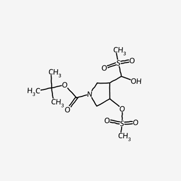 CC(C)(C)OC(=O)N1CC(OS(C)(=O)=O)C(C(O)S(C)(=O)=O)C1